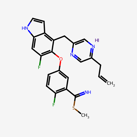 C=CCc1cnc(Cc2c(Oc3ccc(F)c(C(=N)SC)c3)c(F)cc3[nH]ccc23)cn1.I